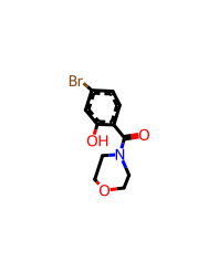 O=C(c1ccc(Br)cc1O)N1CCOCC1